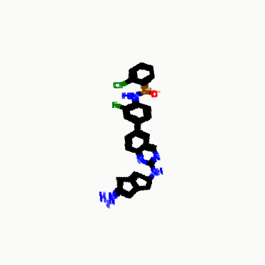 NC1CC2CC(Nc3ncc4cc(-c5ccc(N[S+]([O-])c6ccccc6Cl)c(F)c5)ccc4n3)CC2C1